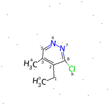 CCc1c(C)cnnc1Cl